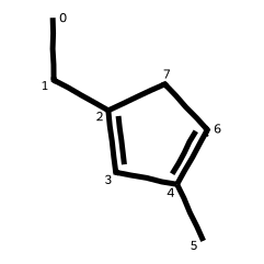 CCC1=CC(C)=[C]C1